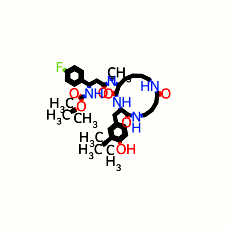 CN(C(=O)CC(NC(=O)OC(C)(C)C)c1ccc(F)cc1)C1CCCCNC(=O)CCCNC(=O)C(Cc2ccc(O)c(C(C)(C)C)c2)NC1=O